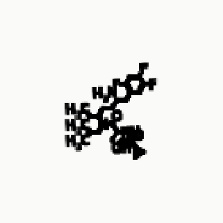 CCC(CC[C@H](N)Cc1cc(F)c(F)cc1F)N(CC(C)C)C(=O)[C@H](CO)NS(=O)(=O)C1CC1